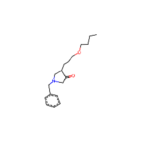 CCCCOCCCC1CN(Cc2ccccc2)CC1=O